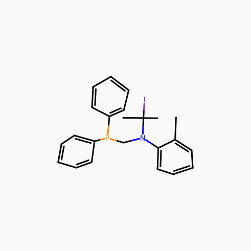 Cc1ccccc1N(CP(c1ccccc1)c1ccccc1)C(C)(C)I